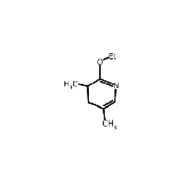 CCOC1=NC=C(C)CC1C